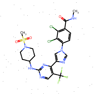 CNC(=O)c1ccc(-n2cnc(-c3nc(NC4CCN(S(C)(=O)=O)CC4)ncc3C(F)(F)F)c2)c(Cl)c1Cl